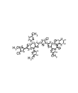 Cc1ccc(-c2c3cc(-c4cc(Cl)c(-c5cc6c(=O)n(-c7ccccc7)c(=O)c7cc(C)sc7c6s5)s4)sc3c(-c3ccc(C)s3)c3cc(-c4cc(Cl)c(C)s4)sc23)s1